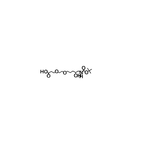 CC(C)(C)OC(=O)NCC(O)CCCOCCOCCC(=O)O